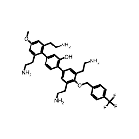 COc1cc(CCN)c(-c2ccc(-c3cc(CCN)c(OCc4ccc(C(F)(F)F)cc4)c(CCN)c3)c(O)c2)c(CCN)c1